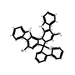 OC1(c2ccccc2-c2ccccc2)c2cc(Br)c3c(oc4ccccc43)c2C2c3sc4ccccc4c3C(Br)=CC21